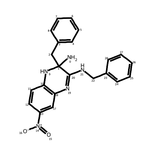 NC1(Cc2ccccc2)Nc2ccc([N+](=O)[O-])cc2N=C1NCc1ccccc1